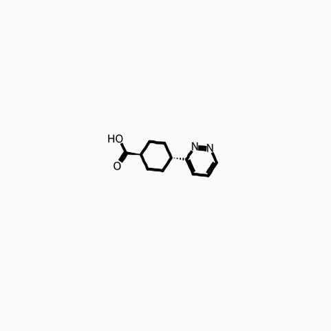 O=C(O)[C@H]1CC[C@H](c2cccnn2)CC1